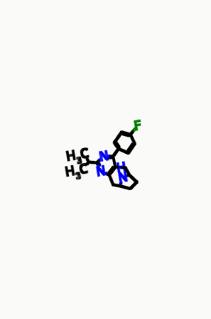 CC(C)c1nc2c(c(-c3ccc(F)cc3)n1)CC1CCC(C2)N1